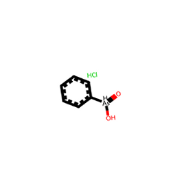 Cl.O=[AsH](O)c1ccccc1